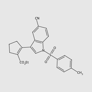 CCOC(=O)C1=C(c2cn(S(=O)(=O)c3ccc(C)cc3)c3ccc(C#N)cc23)CCC1